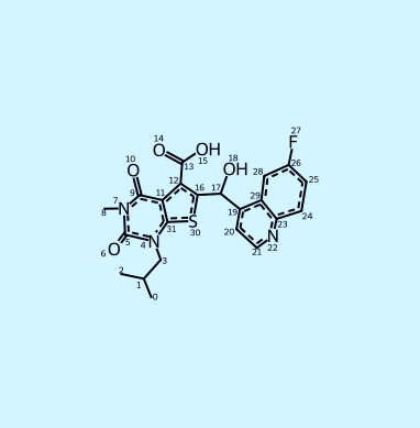 CC(C)Cn1c(=O)n(C)c(=O)c2c(C(=O)O)c(C(O)c3ccnc4ccc(F)cc34)sc21